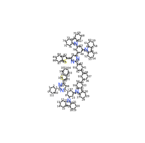 c1ccc(-c2nc(-c3cc(-n4c5ccccc5c5ccccc54)cc(-n4c5ccccc5c5cc(-c6cccc(-c7ccc(-c8nc(-c9cc(-n%10c%11ccccc%11c%11ccccc%11%10)cc(-n%10c%11ccccc%11c%11ccccc%11%10)c9)cc(-c9cc%10ccccc%10s9)n8)cc7)c6)ccc54)c3)cc(-c3cc4ccccc4s3)n2)cc1